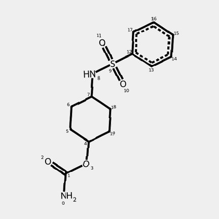 NC(=O)OC1CCC(NS(=O)(=O)c2ccccc2)CC1